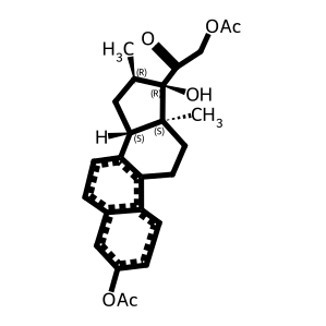 CC(=O)OCC(=O)[C@@]1(O)[C@H](C)C[C@H]2c3ccc4cc(OC(C)=O)ccc4c3CC[C@@]21C